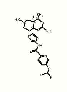 C[C@H]1C[C@H]2[C@@H](C)OC(N)=N[C@@]2(c2nc(NC(=O)c3ccc(OC(F)F)cn3)cs2)CO1